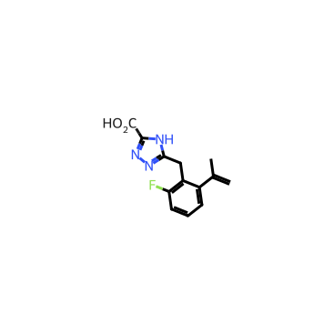 C=C(C)c1cccc(F)c1Cc1nnc(C(=O)O)[nH]1